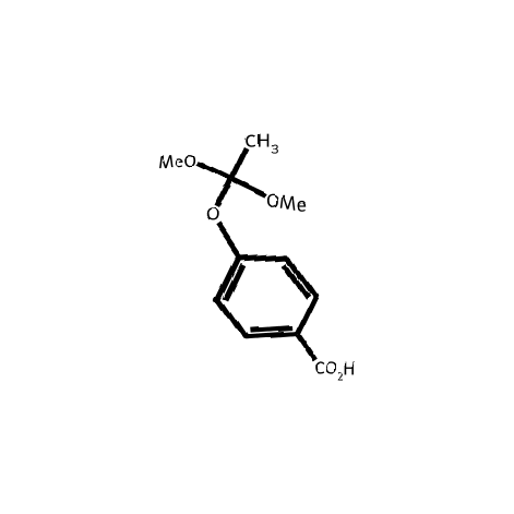 COC(C)(OC)Oc1ccc(C(=O)O)cc1